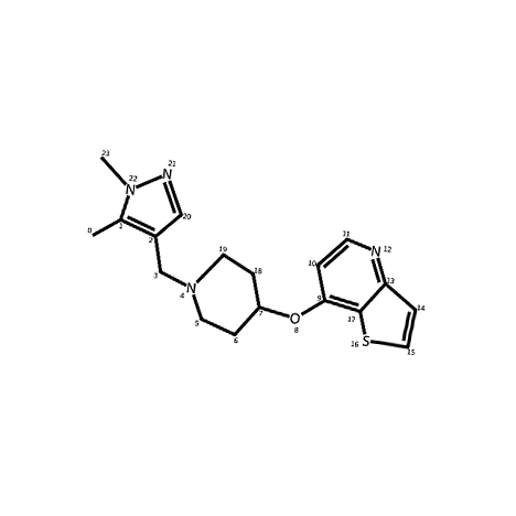 Cc1c(CN2CCC(Oc3ccnc4ccsc34)CC2)cnn1C